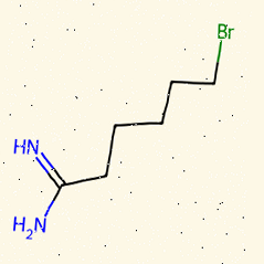 N=C(N)CCCCCBr